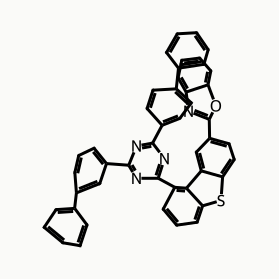 c1ccc(-c2ccc(-c3nc(-c4cccc(-c5ccccc5)c4)nc(-c4cccc5sc6ccc(-c7nc8ccccc8o7)cc6c45)n3)cc2)cc1